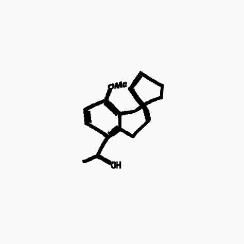 COc1ccc(C(C)O)c2c1C1(CCCC1)CC2